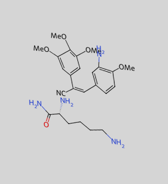 COc1ccc(C=C(C#N)c2cc(OC)c(OC)c(OC)c2)cc1N.NCCCC[C@@H](N)C(N)=O